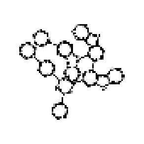 c1ccc(-c2ccc(-c3nc(-c4ccccc4)nc(-c4cc(-c5ccc6oc7ccccc7c6c5-n5c6ccccc6c6cc(-c7ccccc7)ccc65)c5c(c4)oc4ccccc45)n3)cc2)cc1